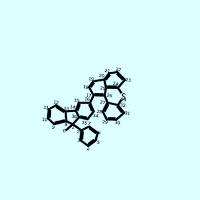 CC1(c2ccccc2)c2ccccc2-c2cc(-c3ccc4cccc5c4c3-c3ccccc3S5)ccc21